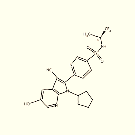 C[C@H](NS(=O)(=O)c1ccc(-c2c(C#N)c3cc(O)cnc3n2C2CCCC2)nc1)C(F)(F)F